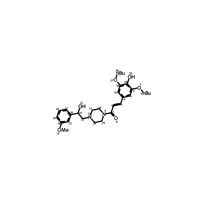 CCCCOc1cc(C=CC(=O)N2CCN(CC(O)c3cccc(OC)c3)CC2)cc(OCCCC)c1O